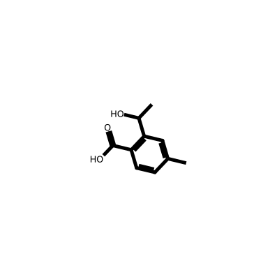 Cc1ccc(C(=O)O)c(C(C)O)c1